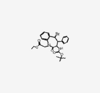 CCOC(=O)CN1C(=O)C(NC(=O)OC(C)(C)C)C(c2ccccc2)C(Br)c2ccccc21